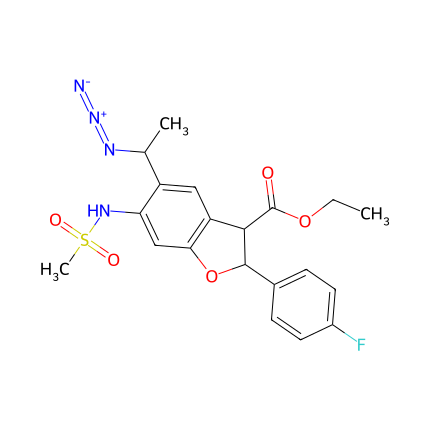 CCOC(=O)C1c2cc(C(C)N=[N+]=[N-])c(NS(C)(=O)=O)cc2OC1c1ccc(F)cc1